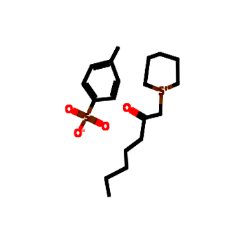 CCCCCC(=O)C[S+]1CCCCC1.Cc1ccc(S(=O)(=O)[O-])cc1